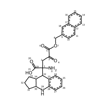 NC(CC(=O)C(=O)OCc1ccc2ccccc2c1)(C(=O)O)C1c2ccccc2NC2CCCC21